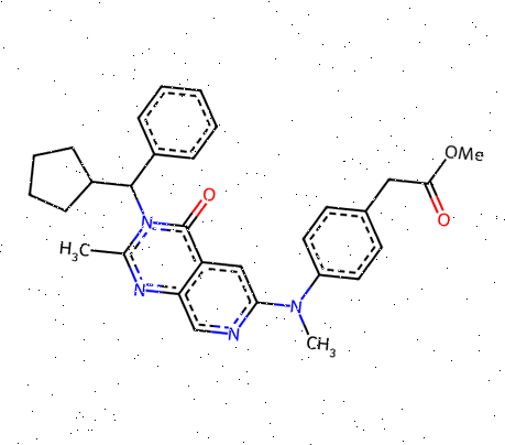 COC(=O)Cc1ccc(N(C)c2cc3c(=O)n(C(c4ccccc4)C4CCCC4)c(C)nc3cn2)cc1